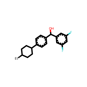 CCC1CCC(c2ccc(C(O)c3cc(F)cc(F)c3)cc2)CC1